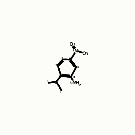 CC(C)c1ccc([N+](=O)[O-])cc1N